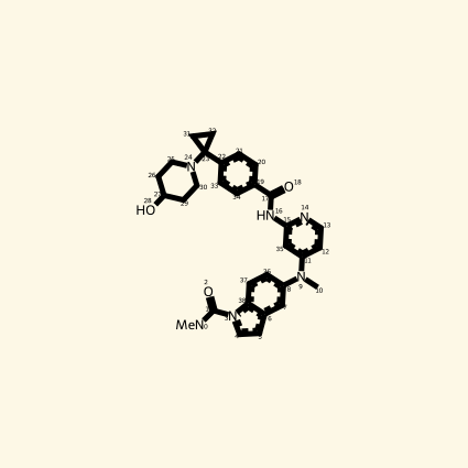 CNC(=O)n1ccc2cc(N(C)c3ccnc(NC(=O)c4ccc(C5(N6CCC(O)CC6)CC5)cc4)c3)ccc21